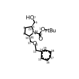 CC(C)(C)OC(=O)N1[C@H](CO)CC[C@@H]1COCc1ccccc1